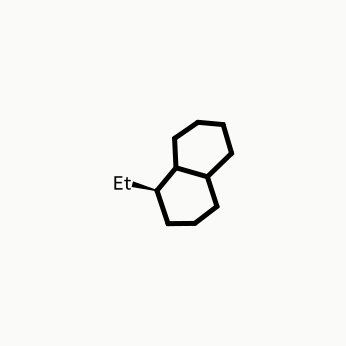 CC[C@@H]1CCCC2CCCCC21